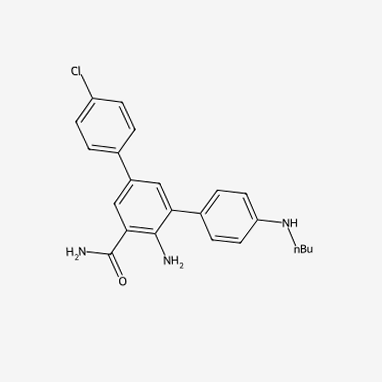 CCCCNc1ccc(-c2cc(-c3ccc(Cl)cc3)cc(C(N)=O)c2N)cc1